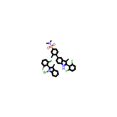 Cc1c(-c2c(F)cccc2F)n(Br)c2ccccc12.Cc1cc(S(=O)(=O)N(C)C)ccc1-c1ccc2[nH]c(-c3c(F)cccc3F)c(C)c2c1